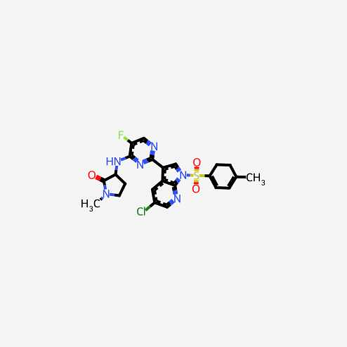 CC1=CC=C(S(=O)(=O)n2cc(-c3ncc(F)c(NC4CCN(C)C4=O)n3)c3cc(Cl)cnc32)CC1